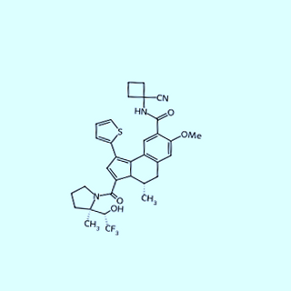 COc1cc2c(cc1C(=O)NC1(C#N)CCC1)C1=C(c3cccs3)C=C(C(=O)N3CCC[C@]3(C)[C@H](O)C(F)(F)F)C1[C@@H](C)C2